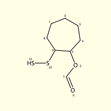 O=COC1CCCCCC1SS